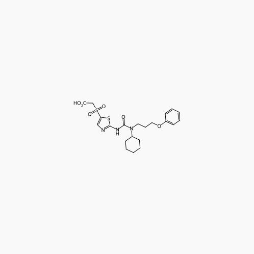 O=C(O)CS(=O)(=O)c1cnc(NC(=O)N(CCCOc2ccccc2)C2CCCCC2)s1